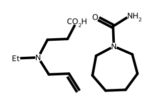 C=CCN(CC)CCC(=O)O.NC(=O)N1CCCCCC1